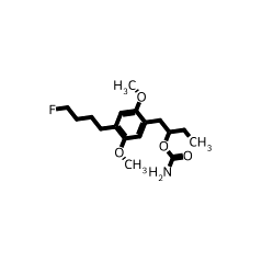 CCC(Cc1cc(OC)c(CCCCF)cc1OC)OC(N)=O